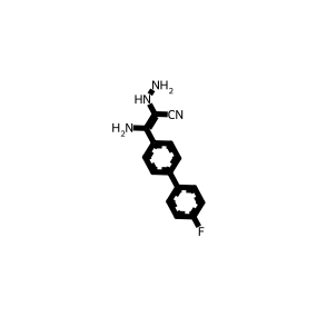 N#C/C(NN)=C(/N)c1ccc(-c2ccc(F)cc2)cc1